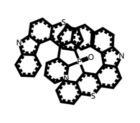 O=P(c1ccccc1)(c1ncccc1-c1c2ccccc2sc2ccc3nc4ccccc4c3c12)c1c2ccccc2sc2ccc3nc4ccccc4c3c12